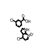 O=C(O)c1cccc(Cl)c1.[O-][n+]1ccc(Cl)c2cc[nH]c21